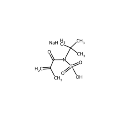 C=C(C)C(=O)N(C(C)(C)C)S(=O)(=O)O.[NaH]